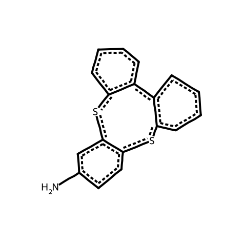 Nc1ccc2sc3ccccc3c3ccccc3sc2c1